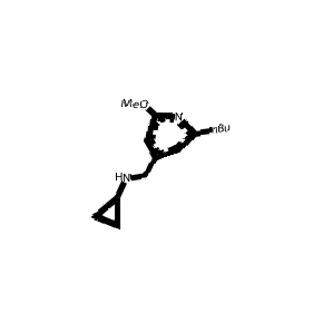 CCCCc1cc(CNC2CC2)cc(OC)n1